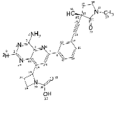 [2H]c1nc(N)c2nc(-c3cccc(C#C[C@]4(O)CCN(C)C4=O)c3)cc(C3CCN3C(=O)O)c2n1